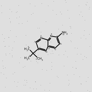 CC(C)(C)c1cnc2nc(N)ccc2c1